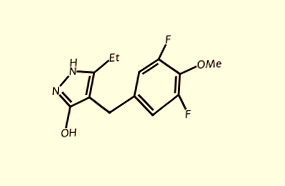 CCc1[nH]nc(O)c1Cc1cc(F)c(OC)c(F)c1